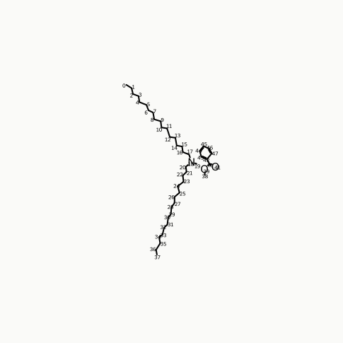 CCCCCCCCCCCCCCCCCCN(C)CCCCCCCCCCCCCCCCCC.COC(=O)c1ccccc1